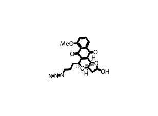 COc1cccc2c1C(=O)C1=C(C2=O)[C@H]2OC(O)C[C@H]2O[C@H]1CCCN=[N+]=[N-]